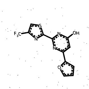 Oc1cc(-c2ccco2)nc(-c2nc(C(F)(F)F)cs2)n1